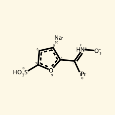 CC(C)C(=[NH+][O-])c1ccc(S(=O)(=O)O)o1.[Na]